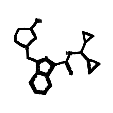 O=C(NC(C1CC1)C1CC1)c1nc(CN2CCC(O)C2)n2ccccc12